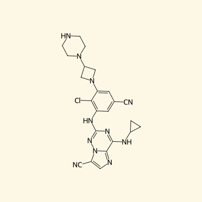 N#Cc1cc(Nc2nc(NC3CC3)c3ncc(C#N)n3n2)c(Cl)c(N2CC(N3CCNCC3)C2)c1